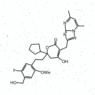 COc1cc(CO)c(F)cc1CCC1(C2CCCC2)CC(O)=C(Cc2nc3nc(C)cc(C)n3n2)C(=O)O1